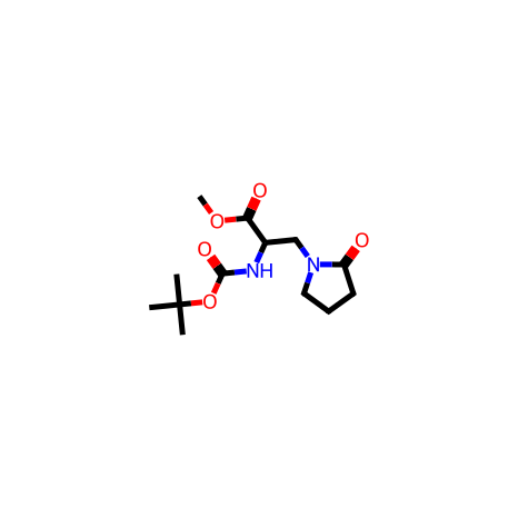 COC(=O)C(CN1CCCC1=O)NC(=O)OC(C)(C)C